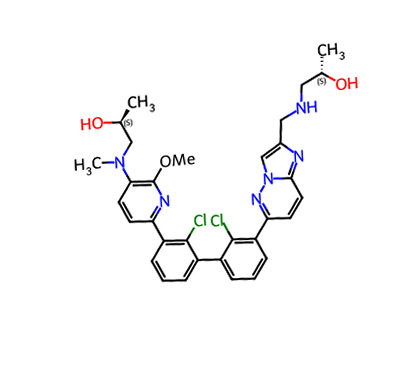 COc1nc(-c2cccc(-c3cccc(-c4ccc5nc(CNC[C@H](C)O)cn5n4)c3Cl)c2Cl)ccc1N(C)C[C@H](C)O